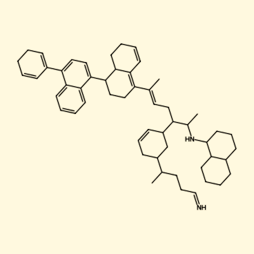 C/C(=C\CC(C1C=CCC(C(C)CCC=N)C1)C(C)NC1CCCC2CCCCC21)C1=C2C=CCCC2C(c2ccc(C3=CCCC=C3)c3ccccc23)CC1